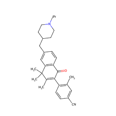 CC1=C(c2ccc(C#N)cc2C)C(=O)c2ccc(CC3CCN(C(C)C)CC3)cc2C1(C)C